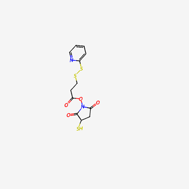 O=C(CCSSc1ccccn1)ON1C(=O)CC(S)C1=O